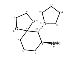 CN[C@H]1CCCC2(OCCO2)[C@@H]1N1CCCC1